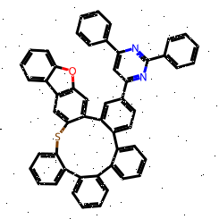 c1ccc(-c2cc(-c3ccc4c(c3)-c3cc5oc6ccccc6c5cc3Sc3ccccc3-c3ccccc3-c3ccccc3-4)nc(-c3ccccc3)n2)cc1